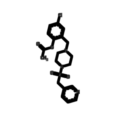 CC(=O)Oc1ccc(Cl)cc1CN1CCN(S(=O)(=O)Cc2cccnc2)CC1